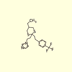 CCC1CSC(CCc2ccc(C(F)(F)F)cc2)(CCn2ccnc2)SC1